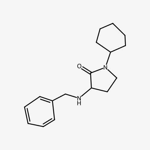 O=C1C(NCc2ccccc2)CCN1C1CCCCC1